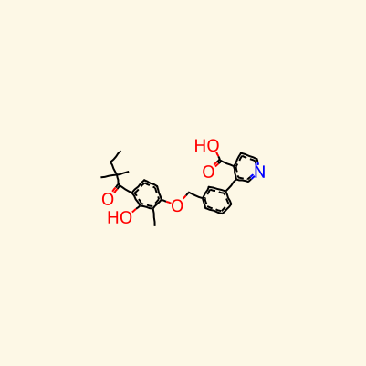 CCC(C)(C)C(=O)c1ccc(OCc2cccc(-c3cnccc3C(=O)O)c2)c(C)c1O